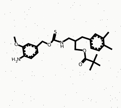 COc1cc(COC(=S)NCC(COC(=O)C(C)(C)C)Cc2ccc(C)c(C)c2)ccc1N